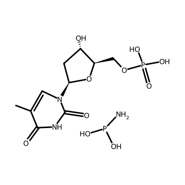 Cc1cn([C@H]2C[C@H](O)[C@@H](COP(=O)(O)O)O2)c(=O)[nH]c1=O.NP(O)O